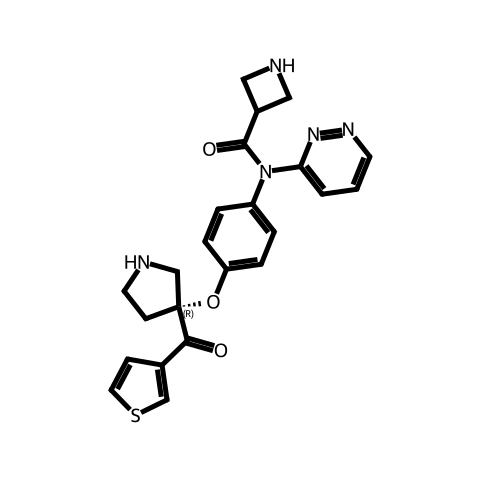 O=C(C1CNC1)N(c1ccc(O[C@]2(C(=O)c3ccsc3)CCNC2)cc1)c1cccnn1